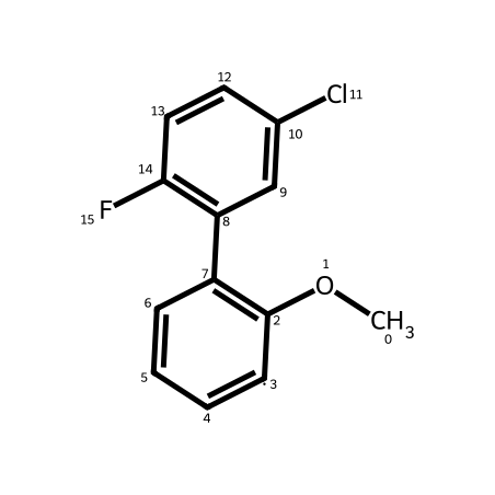 COc1[c]cccc1-c1cc(Cl)ccc1F